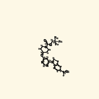 C[S+]([O-])c1ccc2c(c1)CCN2c1cc(OC2CCN(C(=O)OCC(F)(F)F)CC2)ncn1